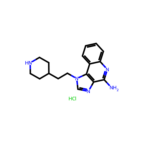 Cl.Nc1nc2ccccc2c2c1ncn2CCC1CCNCC1